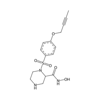 CC#CCOc1ccc(S(=O)(=O)N2CCNCC2C(=O)NO)cc1